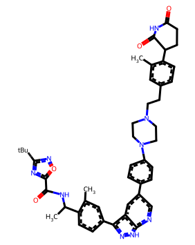 Cc1cc(-c2n[nH]c3ncc(-c4ccc(N5CCN(CCc6ccc(C7CCC(=O)NC7=O)c(C)c6)CC5)cc4)cc23)ccc1C(C)NC(=O)c1nc(C(C)(C)C)no1